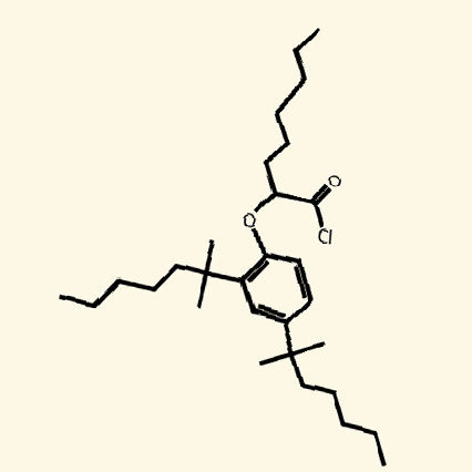 CCCCCCC(Oc1ccc(C(C)(C)CCCCC)cc1C(C)(C)CCCCC)C(=O)Cl